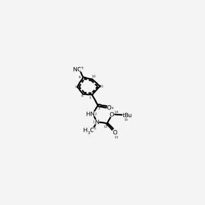 CN(NC(=O)c1ccc(C#N)cc1)C(=O)OC(C)(C)C